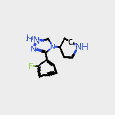 Fc1ccccc1C1=NNCN1C1CCNCC1